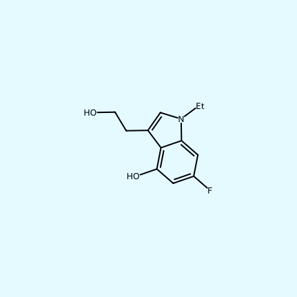 CCn1cc(CCO)c2c(O)cc(F)cc21